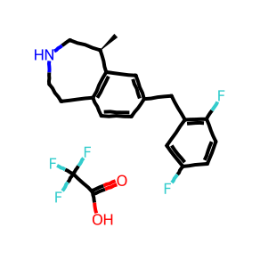 C[C@@H]1CNCCc2ccc(Cc3cc(F)ccc3F)cc21.O=C(O)C(F)(F)F